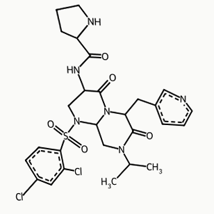 CC(C)N1CC2N(C(=O)C(NC(=O)C3CCCN3)CN2S(=O)(=O)c2ccc(Cl)cc2Cl)C(Cc2cccnc2)C1=O